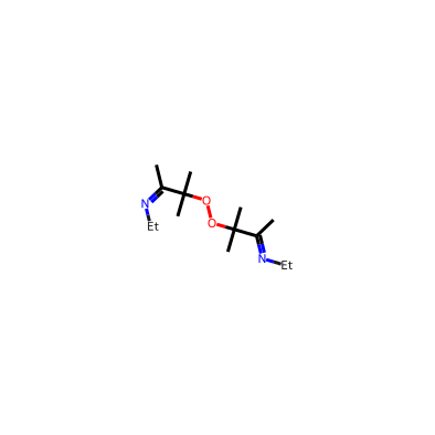 CCN=C(C)C(C)(C)OOC(C)(C)C(C)=NCC